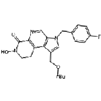 CCCCOCc1cn(Cc2ccc(F)cc2)c2cnc3c(c12)CCN(O)C3=O